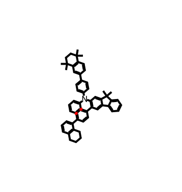 CC1(C)CCC(C)(C)c2cc(-c3ccc(N(c4ccccc4)c4cc5c(cc4-c4ccc(-c6cccc7c6CCCC7)cc4)-c4ccccc4C5(C)C)cc3)ccc21